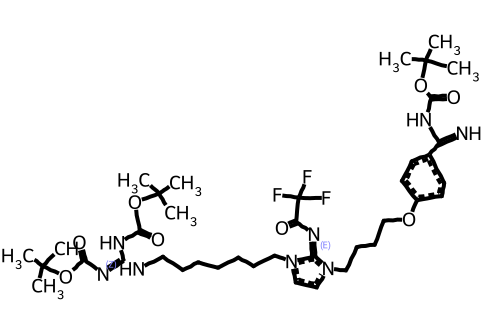 CC(C)(C)OC(=O)/N=C(/NCCCCCCCn1ccn(CCCCOc2ccc(C(=N)NC(=O)OC(C)(C)C)cc2)/c1=N/C(=O)C(F)(F)F)NC(=O)OC(C)(C)C